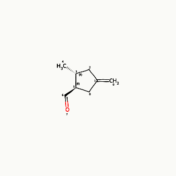 C=C1C[C@@H](C)[C@H](C=O)C1